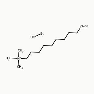 CCCCCCCCCCCCCCCCCC[N+](C)(C)C.[CH2]CO